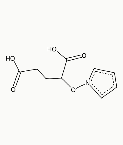 O=C(O)CCC(On1cccc1)C(=O)O